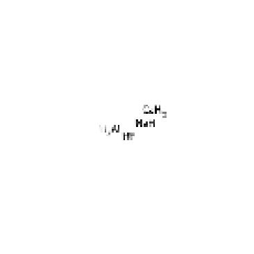 F.[AlH3].[CaH2].[NaH]